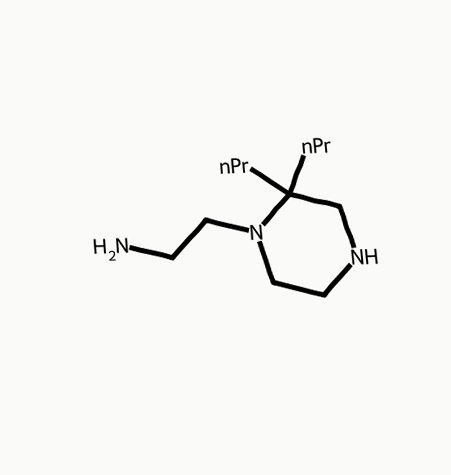 CCCC1(CCC)CNCCN1CCN